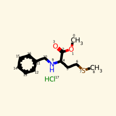 COC(=O)C(CCSC)NCc1ccccc1.Cl